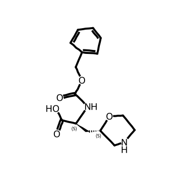 O=C(N[C@@H](C[C@H]1CNCCO1)C(=O)O)OCc1ccccc1